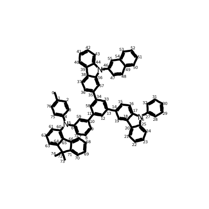 Cc1ccc(N(c2cccc(-c3cc(-c4ccc5c(c4)c4ccccc4n5-c4ccccc4)cc(-c4ccc5c6ccccc6n(-c6ccc7ccccc7c6)c5c4)c3)c2)c2cccc3c2-c2ccccc2C3(C)C)cc1